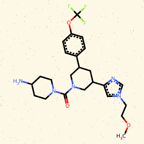 COCCn1cnc(C2CC(c3ccc(OC(F)(F)F)cc3)CN(C(=O)N3CCC(N)CC3)C2)c1